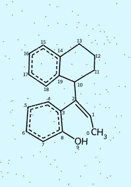 CC=C(c1ccccc1O)C1CCCc2ccccc21